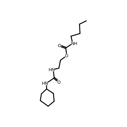 CCCCNC(=O)OCCNC(=O)NC1CCCCC1